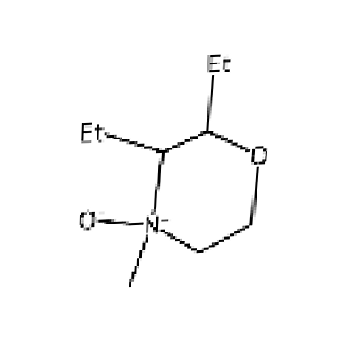 CCC1OCC[N+](C)([O-])C1CC